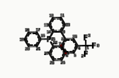 FC(F)(F)c1cccc(-c2ccccc2P(c2ccccc2)c2ccccc2)c1